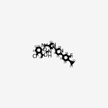 CC(OC(=O)Nc1c(C#N)cnn1-c1ccc(-c2ccc(C3CC3)c(F)c2)nc1)c1ccccc1Cl